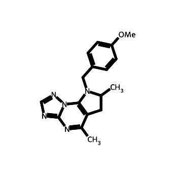 COc1ccc(CN2c3c(c(C)nc4ncnn34)CC2C)cc1